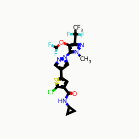 Cn1nc(C(F)(F)C(F)(F)F)c(OC(F)F)c1-n1cc(-c2cc(C(=O)NC3CC3)c(Cl)s2)cn1